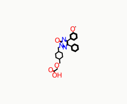 COc1cccc(-c2nc(=O)n(CC3CCC(COCC(=O)O)CC3)nc2-c2ccccc2)c1